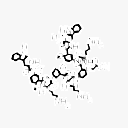 COc1ccc(NC(=O)[C@H](CCCCN)NC(=O)c2cc(NC(=O)[C@H](CCCCN)NC(=O)c3cc(NC(=O)[C@H](CCCCN)NC(=O)c4cc(NC(=O)[C@@H](N)Cc5c[nH]c6ccccc56)ccc4OC)ccc3OC)ccc2OCC(=O)O)cc1C(=O)N[C@@H](Cc1c[nH]c2ccccc12)C(N)=O